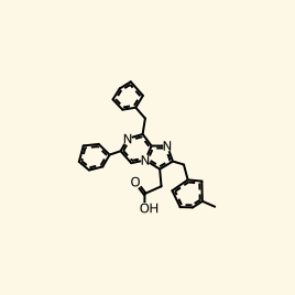 Cc1cccc(Cc2nc3c(Cc4ccccc4)nc(-c4ccccc4)cn3c2CC(=O)O)c1